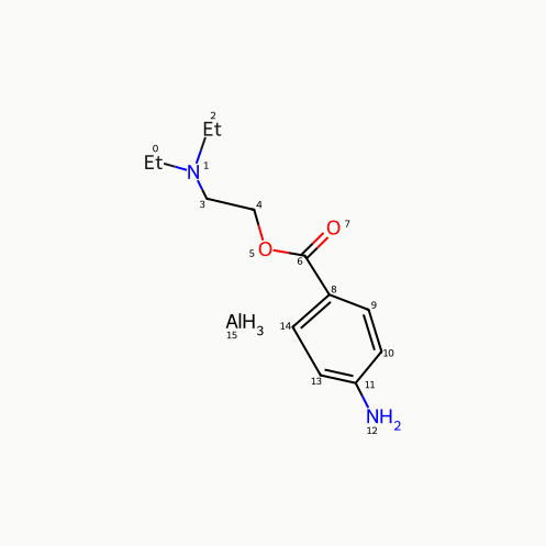 CCN(CC)CCOC(=O)c1ccc(N)cc1.[AlH3]